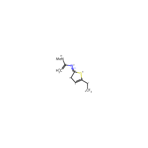 C=C(/N=C1\CC=C(CC(F)(F)F)S1)NC